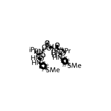 CSc1ccc(NC(=O)N[C@@H](CC(C)C)C(=O)NCO[PH](=O)OCNC(=O)[C@H](CC(C)C)NC(=O)Nc2ccc(SC)cc2)cc1